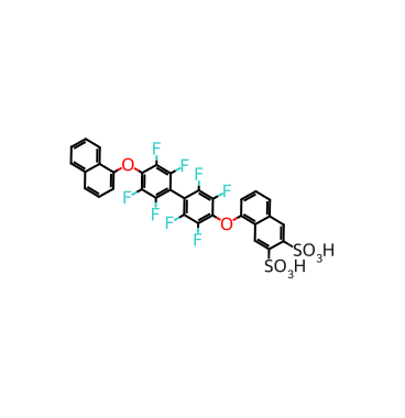 O=S(=O)(O)c1cc2cccc(Oc3c(F)c(F)c(-c4c(F)c(F)c(Oc5cccc6ccccc56)c(F)c4F)c(F)c3F)c2cc1S(=O)(=O)O